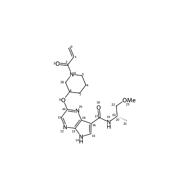 C=CC(=O)N1CCCC(Oc2cnc3[nH]cc(C(=O)N[C@@H](C)COC)c3n2)C1